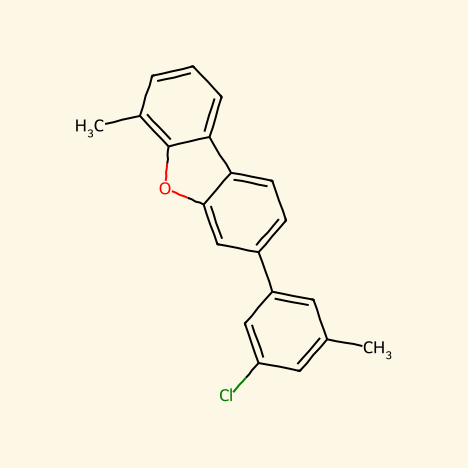 Cc1cc(Cl)cc(-c2ccc3c(c2)oc2c(C)cccc23)c1